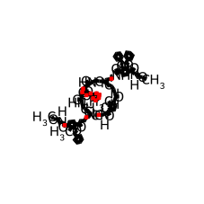 COCCNC(=O)c1ccc(C(=O)CCCCN2CCCNC(=O)c3ccc(c(C)c3C)C(=O)NCCCN(CCCNC(=O)c3ccc(C(=O)NCCOC)c(OCc4ccccc4)c3OCc3ccccc3)CCCNC(=O)c3ccc(c(OCc4ccccc4)c3OCc3ccccc3)C(=O)NCCC2)c(OCc2ccccc2)c1C